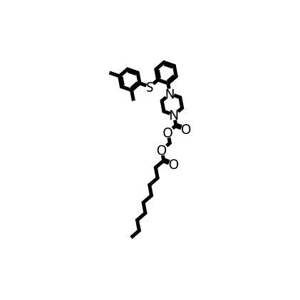 CCCCCCCCCC(=O)OCOC(=O)N1CCN(c2ccccc2Sc2ccc(C)cc2C)CC1